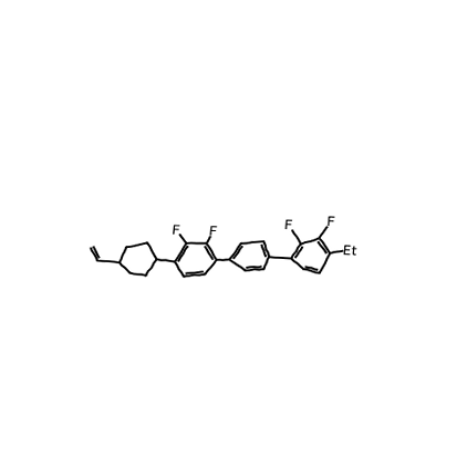 C=CC1CCC(c2ccc(-c3ccc(-c4ccc(CC)c(F)c4F)cc3)c(F)c2F)CC1